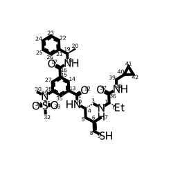 CC[C@H](NC[C@H](C/C(C)=C/S)NC(=O)c1cc(C(=O)N[C@H](C)c2ccccc2)cc(N(C)S(C)(=O)=O)c1)C(=O)NCC1CC1